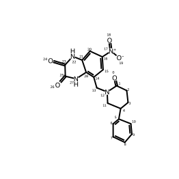 O=C1CCC(c2ccccc2)CN1Cc1cc([N+](=O)[O-])cc2[nH]c(=O)c(=O)[nH]c12